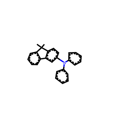 CC1(C)c2ccccc2-c2cc(N(c3ccccc3)c3ccccc3)ccc21